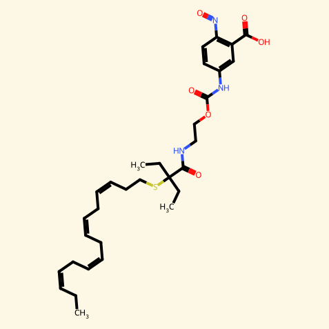 CC/C=C\C/C=C\C/C=C\C/C=C\CCSC(CC)(CC)C(=O)NCCOC(=O)Nc1ccc(N=O)c(C(=O)O)c1